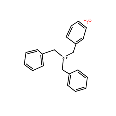 O.c1ccc([CH2][Sn]([CH2]c2ccccc2)[CH2]c2ccccc2)cc1